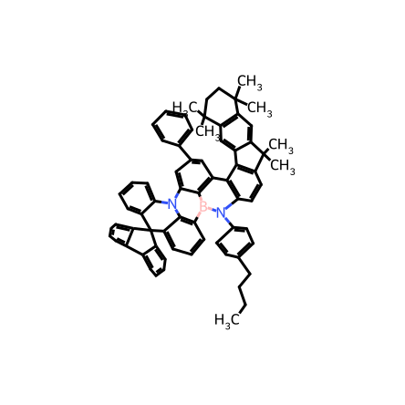 CCCCc1ccc(N2B3c4cccc5c4N(c4ccccc4C54c5ccccc5-c5ccccc54)c4cc(-c5ccccc5)cc(c43)-c3c2ccc2c3-c3cc4c(cc3C2(C)C)C(C)(C)CCC4(C)C)cc1